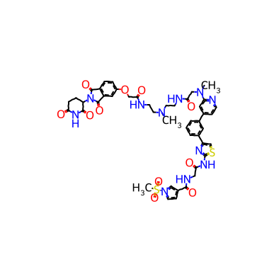 CN(CCNC(=O)COc1ccc2c(c1)C(=O)N(C1CCC(=O)NC1=O)C2=O)CCNC(=O)CN(C)c1cc(-c2cccc(-c3csc(NC(=O)CNC(=O)c4ccn(S(C)(=O)=O)c4)n3)c2)ccn1